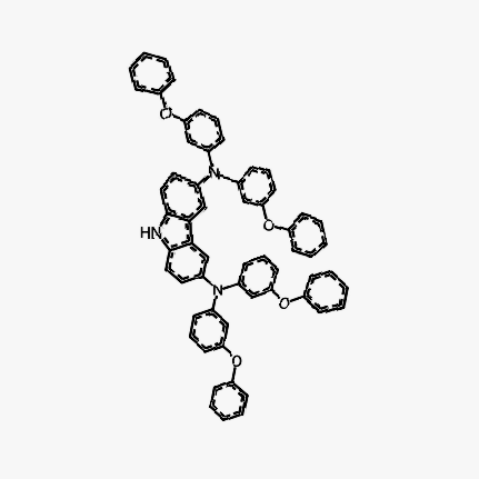 c1ccc(Oc2cccc(N(c3cccc(Oc4ccccc4)c3)c3ccc4[nH]c5ccc(N(c6cccc(Oc7ccccc7)c6)c6cccc(Oc7ccccc7)c6)cc5c4c3)c2)cc1